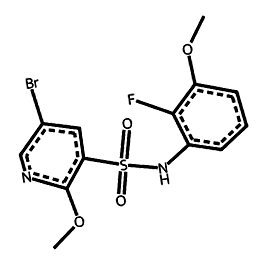 COc1cccc(NS(=O)(=O)c2cc(Br)cnc2OC)c1F